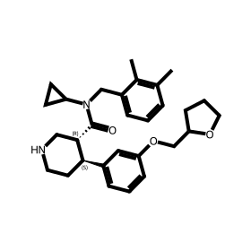 Cc1cccc(CN(C(=O)[C@H]2CNCC[C@@H]2c2cccc(OCC3CCCO3)c2)C2CC2)c1C